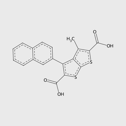 Cc1c(C(=O)O)sc2sc(C(=O)O)c(-c3ccc4ccccc4c3)c12